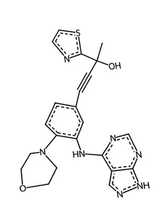 CC(O)(C#Cc1ccc(N2CCOCC2)c(Nc2ncnc3[nH]ncc23)c1)c1nccs1